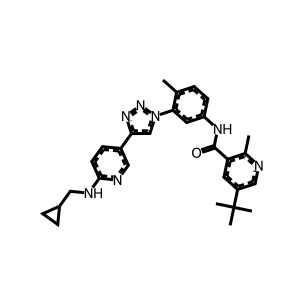 Cc1ccc(NC(=O)c2cc(C(C)(C)C)cnc2C)cc1-n1cc(-c2ccc(NCC3CC3)nc2)nn1